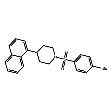 CC(C)(C)c1ccc(S(=O)(=O)N2CCC(c3cccc4ccccc34)CC2)cc1